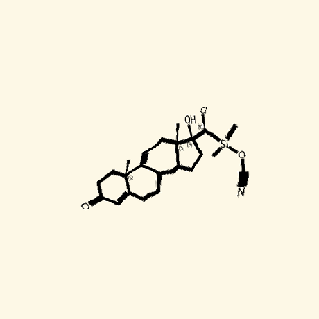 C[C@]12CCC(=O)C=C1CCC1C2=CC[C@@]2(C)C1CC[C@@]2(O)[C@@H](Cl)[Si](C)(C)OC#N